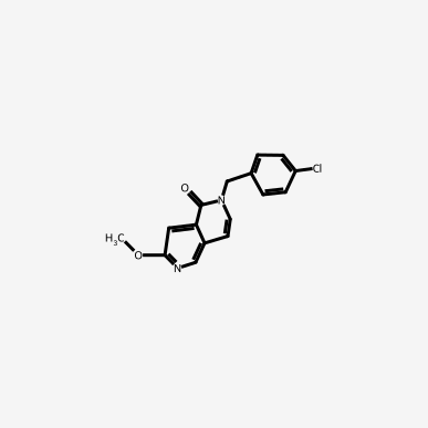 COc1cc2c(=O)n(Cc3ccc(Cl)cc3)ccc2cn1